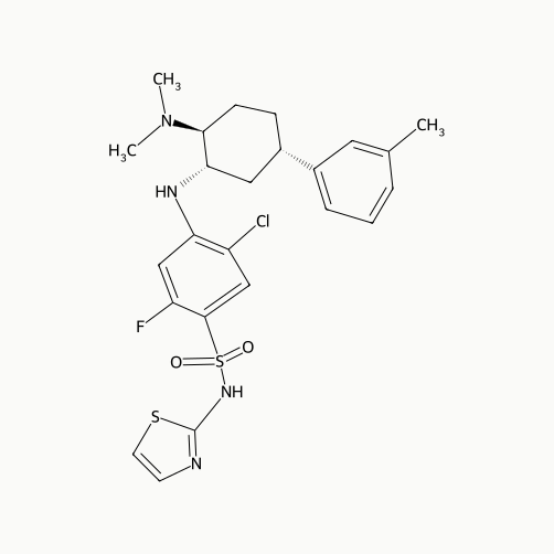 Cc1cccc([C@H]2CC[C@H](N(C)C)[C@@H](Nc3cc(F)c(S(=O)(=O)Nc4nccs4)cc3Cl)C2)c1